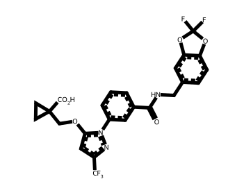 O=C(NCc1ccc2c(c1)OC(F)(F)O2)c1cccc(-n2nc(C(F)(F)F)cc2OCC2(C(=O)O)CC2)c1